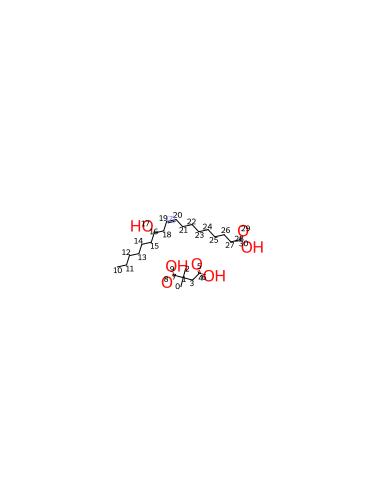 CC(C)(CC(=O)O)C(=O)O.CCCCCCC(O)C/C=C\CCCCCCCC(=O)O